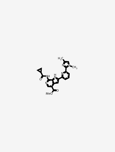 COC(=O)c1cnc(NC(=O)C2CC2)c2[nH]c(-c3cccc(-c4nc(C)cn4C)n3)cc12